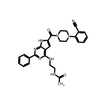 CC(=O)NCCNc1nc(-c2ccccc2)nc2[nH]c(C(=O)N3CCN(c4ccccc4C#N)CC3)cc12